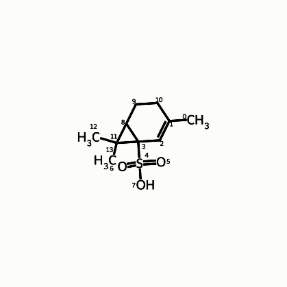 CC1=CC2(S(=O)(=O)O)C(CC1)C2(C)C